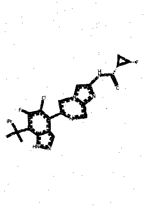 CC(C)C(C)(C)c1c(F)c(Cl)c(-c2cn3cc(NC(=O)[C@@H]4C[C@@H]4F)nc3cn2)c2cn[nH]c12